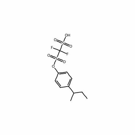 CCC(C)c1ccc(OS(=O)(=O)C(F)(F)S(=O)(=O)O)cc1